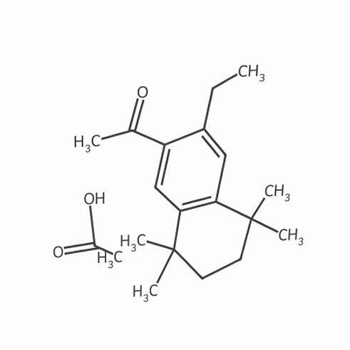 CC(=O)O.CCc1cc2c(cc1C(C)=O)C(C)(C)CCC2(C)C